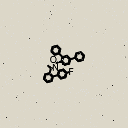 CC1c2ccccc2-c2ccc(F)cc2N1C(=O)c1ccc(-c2ccccc2)cc1-c1ccccc1